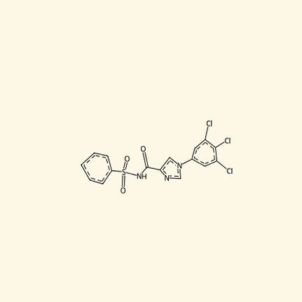 O=C(NS(=O)(=O)c1ccccc1)c1cn(-c2cc(Cl)c(Cl)c(Cl)c2)cn1